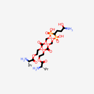 CC(C)[C@H](N)C(=O)OCCOC(=O)OCOP(=O)(O)C(CCC(N)O)P(=O)(O)OCOC(=O)OCCOC(=O)[C@@H](N)C(C)C